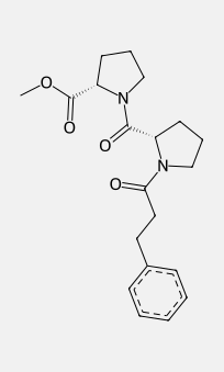 COC(=O)[C@@H]1CCCN1C(=O)[C@@H]1CCCN1C(=O)CCc1ccccc1